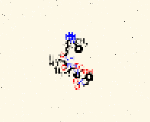 CC(C)[C@H](NC(=O)CCCCc1nnnn1C(C)(C)c1ccccc1)C(=O)N[C@H](C(=O)N1CC(OC(=O)N2CCc3ccccc3C2)C[C@H]1C(=O)O)C(C)C